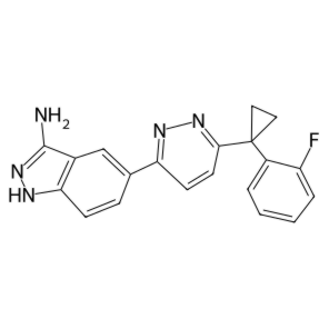 Nc1n[nH]c2ccc(-c3ccc(C4(c5ccccc5F)CC4)nn3)cc12